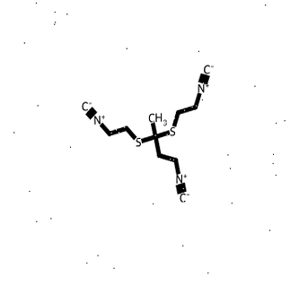 [C-]#[N+]CCSC(C)(CC[N+]#[C-])SCC[N+]#[C-]